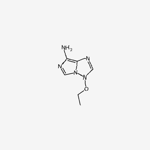 CCOn1cnc2c(N)ncn21